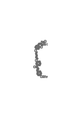 COc1ccc(C=CC(=O)c2cccc(OCCCCCOc3ccc(C=C4SC(=O)NC4=O)cc3)c2)cc1